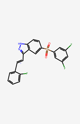 O=S(=O)(c1cc(F)cc(F)c1)c1ccc2[nH]nc(/C=C/c3ccccc3F)c2c1